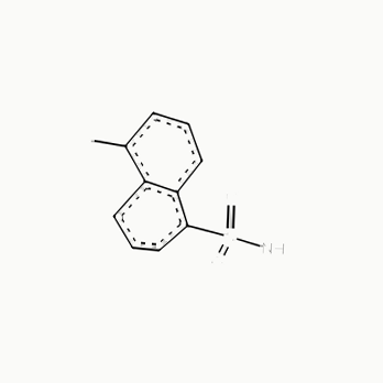 NS(=O)(=O)c1cccc2c(I)cccc12